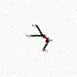 CCCCCCCCCCCCN(CCCCCCCCCCCC)c1ccc(/C=C/C(=O)c2ccc(OCCCCCCCC)cc2O)cc1